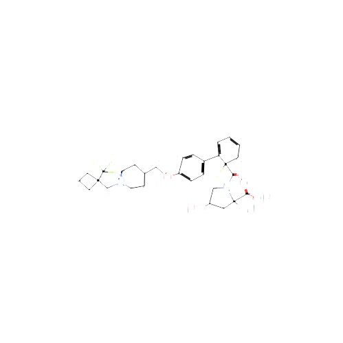 CC1(C(=O)O)CC(O)CN1C(=O)C1(F)CC=CC=C1c1ccc(OCC2CCN(CC3(C(F)(F)F)CCC3)CC2)cc1